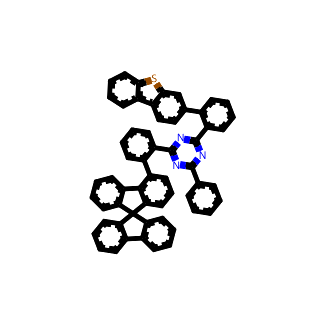 c1ccc(-c2nc(-c3ccccc3-c3ccc4c(c3)sc3ccccc34)nc(-c3ccccc3-c3cccc4c3-c3ccccc3C43c4ccccc4-c4ccccc43)n2)cc1